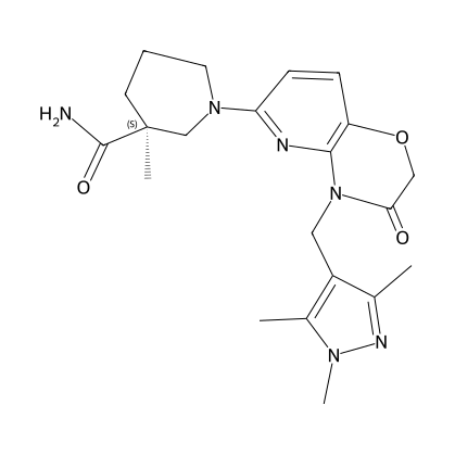 Cc1nn(C)c(C)c1CN1C(=O)COc2ccc(N3CCC[C@](C)(C(N)=O)C3)nc21